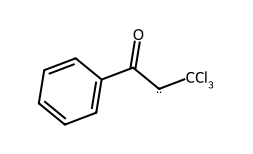 O=C([C]C(Cl)(Cl)Cl)c1ccccc1